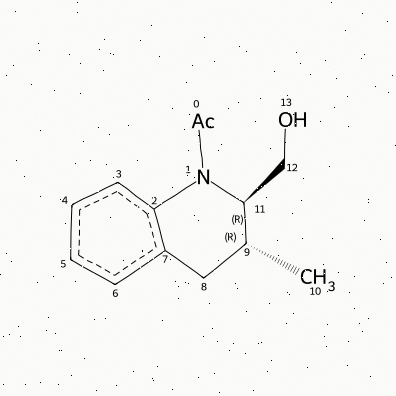 CC(=O)N1c2ccccc2C[C@@H](C)[C@@H]1CO